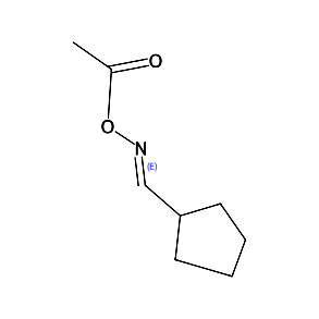 CC(=O)O/N=C/C1CCCC1